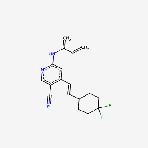 C=CC(=C)Nc1cc(/C=C/C2CCC(F)(F)CC2)c(C#N)cn1